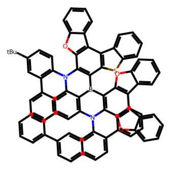 CC(C)(C)c1ccc(N2c3cc(-c4ccccc4-c4ccccc4)cc4c3B(c3c(c5oc6ccccc6c5c5c3oc3ccccc35)N4c3ccccc3-c3ccccc3)c3c2c2oc4ccccc4c2c2c3sc3ccccc32)c(-c2ccccc2)c1